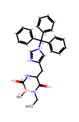 COCNC(=O)C(Cc1cn(C(c2ccccc2)(c2ccccc2)c2ccccc2)cn1)NC(=O)OC(C)(C)C